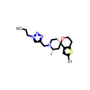 CCc1cc2c(s1)CCO[C@@]21CCN(Cc2cn(CCC#N)nn2)[C@@H](C)C1